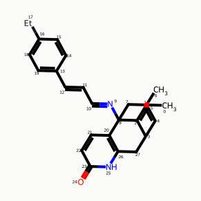 C/C=C1\C2C=C(C)CC1(/N=C/C=C/c1ccc(CC)cc1)c1ccc(=O)[nH]c1C2